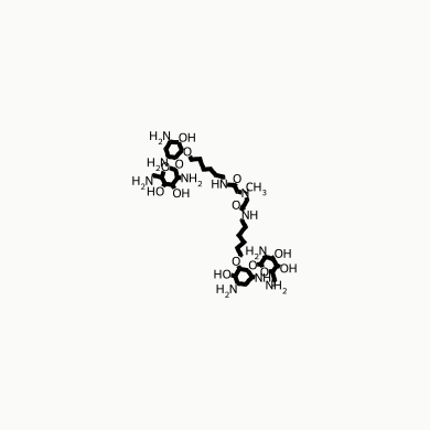 CN(CC(=O)NCCCCCCOC1C(O)C(N)CC(N)C1OC1OC(CN)C(O)C(O)C1N)CC(=O)NCCCCCCOC1C(O)C(N)CC(N)C1OC1OC(CN)C(O)C(O)C1N